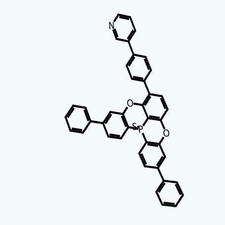 S=P12c3ccc(-c4ccccc4)cc3Oc3ccc(-c4ccc(-c5cccnc5)cc4)c(c31)Oc1cc(-c3ccccc3)ccc12